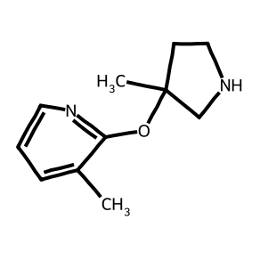 Cc1cccnc1OC1(C)CCNC1